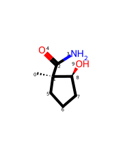 C[C@@]1(C(N)=O)CCC[C@@H]1O